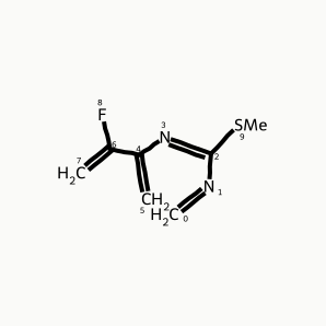 C=N/C(=N\C(=C)C(=C)F)SC